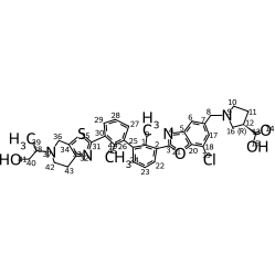 Cc1c(-c2nc3cc(CN4CC[C@@H](C(=O)O)C4)cc(Cl)c3o2)cccc1-c1cccc(-c2nc3c(s2)CN(C(C)CO)CC3)c1C